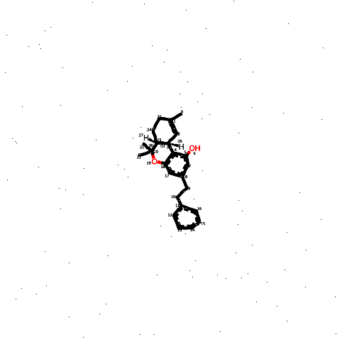 CC1=C[C@@H]2c3c(O)cc(CCc4ccccc4)cc3OC(C)(C)[C@@H]2CC1